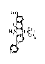 CC(C)N([C@H](Cc1ccc(O)cc1)C(N)=O)N1CCN(c2ccncc2)CC1